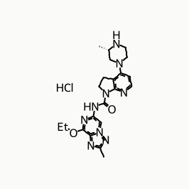 CCOc1nc(NC(=O)N2CCc3c(N4CCN[C@@H](C)C4)ccnc32)cn2nc(C)nc12.Cl